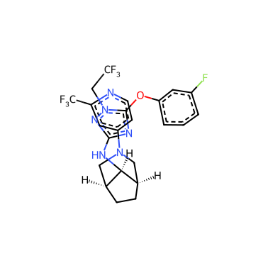 Fc1cccc(Oc2nc(N[C@H]3[C@@H]4CC[C@H]3CN(c3ccnc(C(F)(F)F)c3)C4)nn2CC(F)(F)F)c1